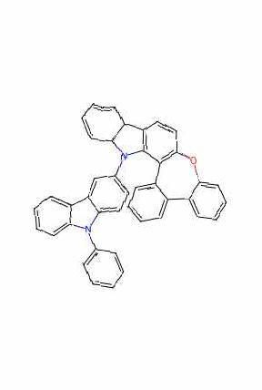 C1=CC2c3ccc4c(c3N(c3ccc5c(c3)c3ccccc3n5-c3ccccc3)C2C=C1)-c1ccccc1-c1ccccc1O4